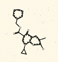 O=C(OCc1ccccc1)c1cn(C2CC2)c2nc(Cl)c(F)cc2c1=O